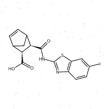 O=C(Nc1nc2ccc(I)cc2s1)[C@@H]1C2C=CC(C2)[C@@H]1C(=O)O